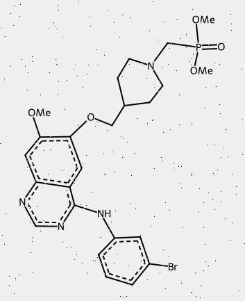 COc1cc2ncnc(Nc3cccc(Br)c3)c2cc1OCC1CCN(CP(=O)(OC)OC)CC1